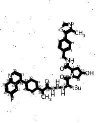 Cc1ncsc1-c1ccc(CNC(=O)C2CC(O)CN2C(=O)C(NBNC(=O)C(C)C2CCC(c3ccnc4ccc(F)cc34)CC2)C(C)(C)C)cc1